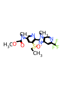 CC[S+]([O-])c1cc(N(C)C(=O)COC)cnc1-c1nc2cc(C(F)(F)F)ncc2n1C